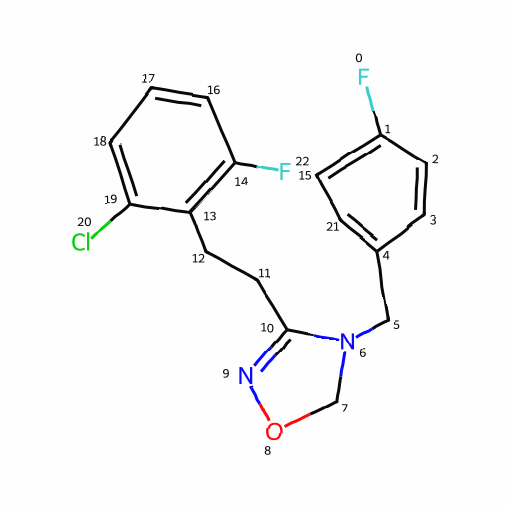 Fc1ccc(CN2CON=C2CCc2c(F)cccc2Cl)cc1